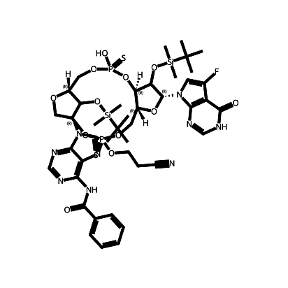 CC(C)(C)[Si](C)(C)OC1[C@H](n2cc(F)c3c(=O)[nH]cnc32)O[C@@H]2COP(=S)(OCCC#N)O[C@]3(n4cnc5c(NC(=O)c6ccccc6)ncnc54)CO[C@H](COP(O)(=S)O[C@@H]12)C3O[Si](C)(C)C(C)(C)C